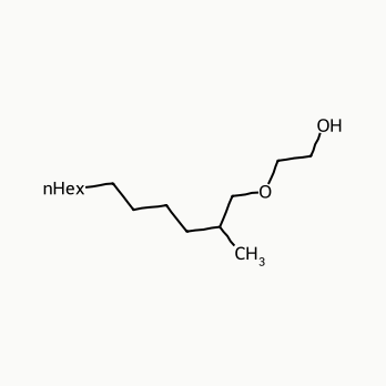 CCCCCCCCCCC(C)COCCO